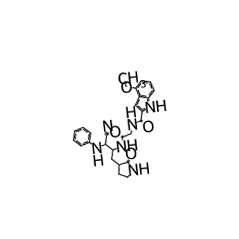 COc1cccc2[nH]c(C(=O)NCC(=O)NC(CC3CCNC3=O)C(C#N)Nc3ccccc3)cc12